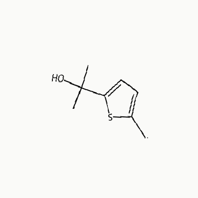 [CH2]c1ccc(C(C)(C)O)s1